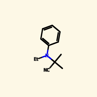 CCN(c1ccccc1)C(C)(C)C#N